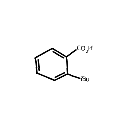 CCC(C)c1ccccc1C(=O)O